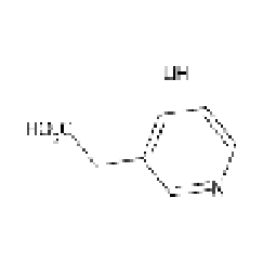 O=C(O)Cc1cccnc1.[LiH]